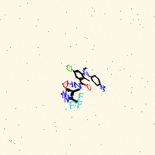 CCN(c1cc(Cl)cc(C(=O)NCc2c(C(F)(F)F)nn(C)c2OC)c1C)C1CCC(N(C)C)CC1